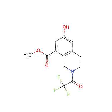 COC(=O)c1cc(O)cc2c1CN(C(=O)C(F)(F)F)CC2